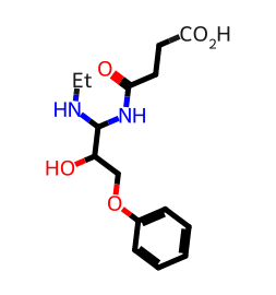 CCNC(NC(=O)CCC(=O)O)C(O)COc1ccccc1